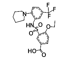 CCOc1ccc(C(=O)O)cc1S(=O)(=O)Nc1cc(C(F)(F)F)ccc1N1CCCCC1